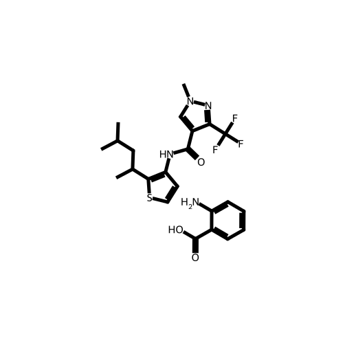 CC(C)CC(C)c1sccc1NC(=O)c1cn(C)nc1C(F)(F)F.Nc1ccccc1C(=O)O